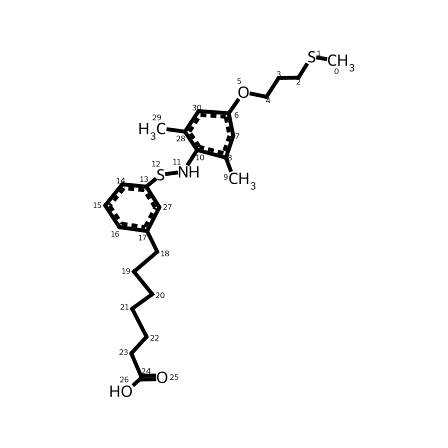 CSCCCOc1cc(C)c(NSc2cccc(CCCCCCC(=O)O)c2)c(C)c1